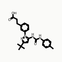 Cc1ccc(NC(=O)Nc2cc(C(C)(C)C)nn2-c2cccc(CCC(=O)O)c2)cc1